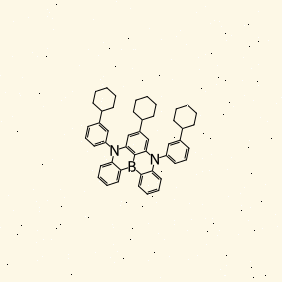 c1cc(C2CCCCC2)cc(N2c3ccccc3B3c4ccccc4N(c4cccc(C5CCCCC5)c4)c4cc(C5CCCCC5)cc2c43)c1